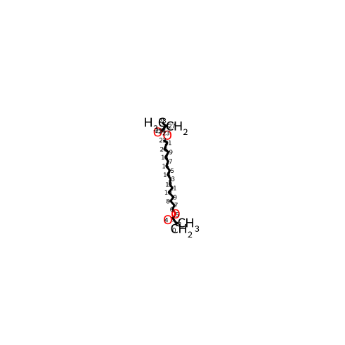 C=C(C)C(=O)OCCCCCCCCCCCCCCCCCOC(=O)C(=C)C